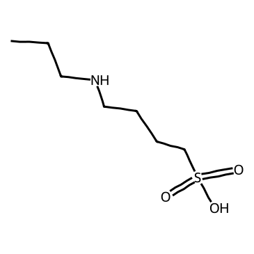 CCCNCCCCS(=O)(=O)O